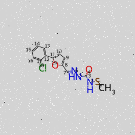 CSNC(=O)N/N=C/c1ccc(-c2ccccc2Cl)o1